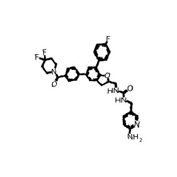 Nc1ccc(CNC(=O)NCC2Cc3cc(-c4ccc(C(=O)N5CCC(F)(F)CC5)cc4)cc(-c4ccc(F)cc4)c3O2)cn1